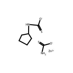 NC([O-])=S.[O-]C(=S)NC1CCCC1.[Zn+2]